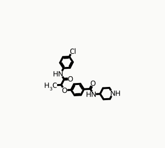 CC(Oc1ccc(C(=O)NC2CCNCC2)cc1)C(=O)Nc1ccc(Cl)cc1